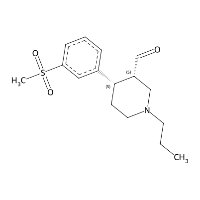 CCCN1CC[C@H](c2cccc(S(C)(=O)=O)c2)[C@H](C=O)C1